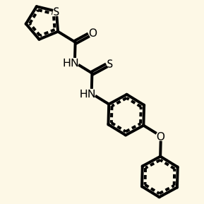 O=C(NC(=S)Nc1ccc(Oc2ccccc2)cc1)c1cccs1